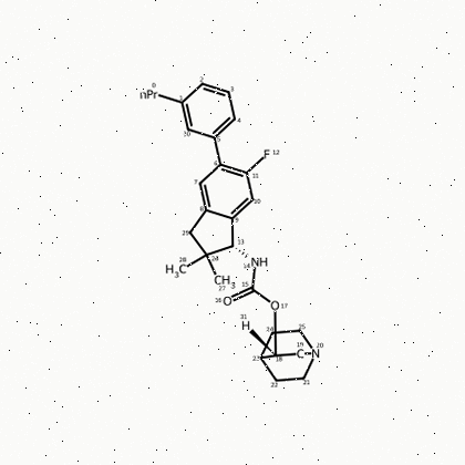 CCCc1cccc(-c2cc3c(cc2F)[C@H](NC(=O)O[C@@H]2CN4CCC2CC4)C(C)(C)C3)c1